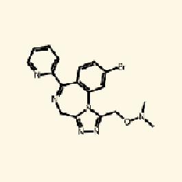 CN(C)OCc1nnc2n1-c1cc(Br)ccc1C(c1ccccn1)=NC2